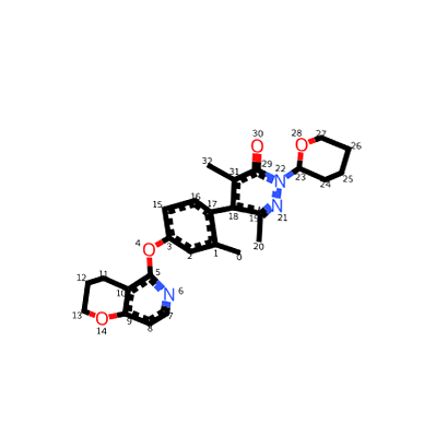 Cc1cc(Oc2nccc3c2CCCO3)ccc1-c1c(C)nn(C2CCCCO2)c(=O)c1C